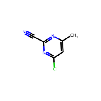 Cc1cc(Cl)nc(C#N)n1